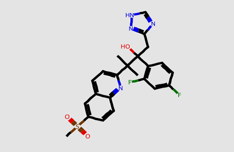 CC(C)(c1ccc2cc(S(C)(=O)=O)ccc2n1)C(O)(Cc1nc[nH]n1)c1ccc(F)cc1F